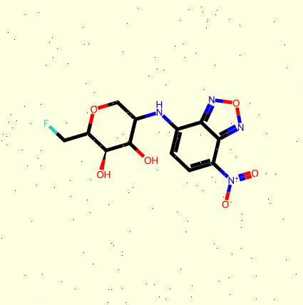 O=[N+]([O-])c1ccc(NC2COC(CF)[C@H](O)C2O)c2nonc12